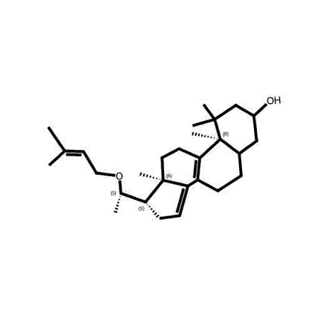 CC(C)=CCO[C@@H](C)[C@H]1CC=C2C3=C(CC[C@@]21C)[C@]1(C)C(CC3)CC(O)CC1(C)C